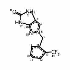 O=C1NCc2cn(Cc3ccccc3C(F)(F)F)nc2N1